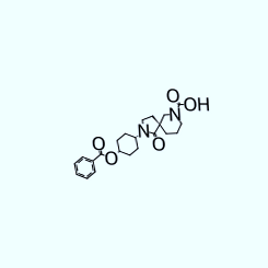 O=C(O[C@H]1CC[C@@H](N2CC[C@@]3(CCCN(C(=O)O)C3)C2=O)CC1)c1ccccc1